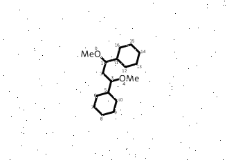 COC(CC(OC)C1CCCCC1)C1CCCCC1